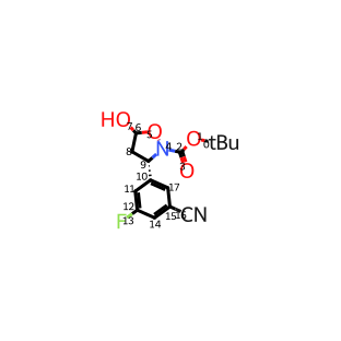 CC(C)(C)OC(=O)N1OC(O)C[C@H]1c1cc(F)cc(C#N)c1